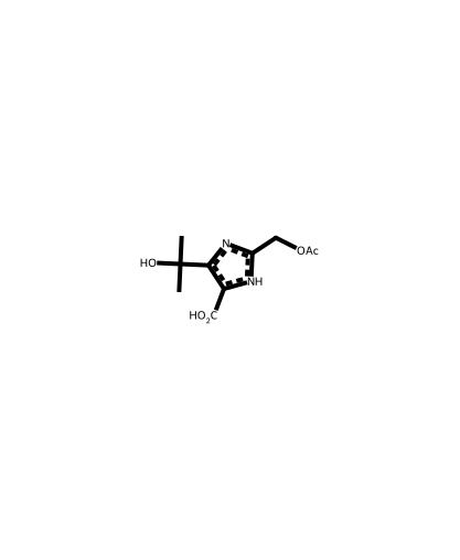 CC(=O)OCc1nc(C(C)(C)O)c(C(=O)O)[nH]1